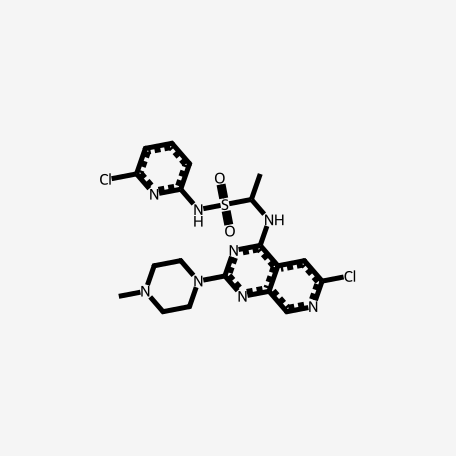 CC(Nc1nc(N2CCN(C)CC2)nc2cnc(Cl)cc12)S(=O)(=O)Nc1cccc(Cl)n1